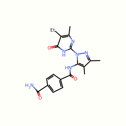 CCc1c(C)nc(-n2nc(C)c(C)c2NC(=O)c2ccc(C(N)=O)cc2)[nH]c1=O